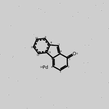 O=C1C=CC=C2C1=Cc1ccccc12.[Pd]